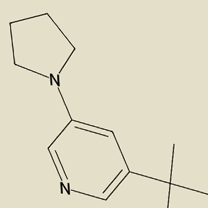 CC(C)(C)c1cncc(N2CCCC2)c1